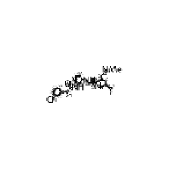 CNCCc1cc(C2CC2)cn2cc(CNc3ccnc(NC(=O)[C@H]4C[C@@H]4c4cccc(Cl)c4)c3)nc12